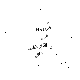 CCC(S)CC[SiH2]C(OC)OC